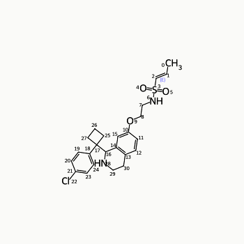 C/C=C/S(=O)(=O)NCCOc1ccc2c(c1)C(C1(c3ccc(Cl)cc3)CCC1)NCC2